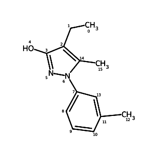 CCc1c(O)nn(-c2cccc(C)c2)c1C